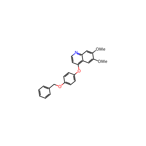 COc1cc2nccc(Oc3ccc(OCc4ccccc4)cc3)c2cc1OC